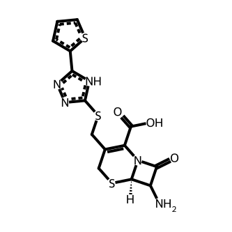 NC1C(=O)N2C(C(=O)O)=C(CSc3nnc(-c4cccs4)[nH]3)CS[C@H]12